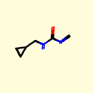 C=NC(=O)NCC1CC1